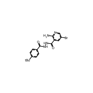 CC(C)(C)c1ccc(C(=O)NNC(=O)c2cc(Br)cnc2N)cc1